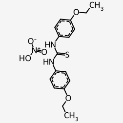 CCOc1ccc(NC(=S)Nc2ccc(OCC)cc2)cc1.O=[N+]([O-])O